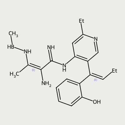 CBN/C(C)=C(/N)C(=N)Nc1cc(CC)ncc1/C(=C\CC)c1ccccc1O